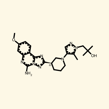 COc1ccc2c(c1)nc(N)n1nc([C@@H]3CCCN(c4cnn(CC(C)(C)O)c4C)C3)nc21